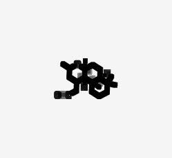 CC1CC(CC=O)[C@@H]2[C@@]3(C)CCCC(C)(C)[C@@H]3CC[C@@]2(C)O1